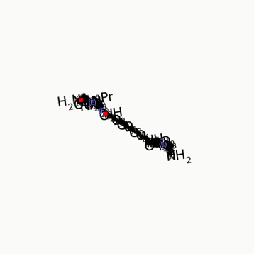 CCCn1/c(=N/C(=O)c2cccc(C(N)=O)c2)[nH]c2cc(/C=C/C(=O)NCCCOCCOCCOCCOCCOCCCNC(=O)c3ccc(/N=N/c4cc(CCN)ccc4O)cc3)ccc21